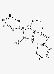 CCCN1N=C2/C(=C\c3ccccc3)COCC2C1c1ccccc1